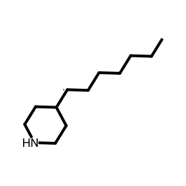 CCCCCC[CH]C1CCNCC1